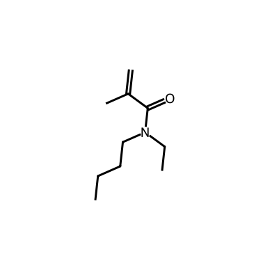 C=C(C)C(=O)N(CC)CCCC